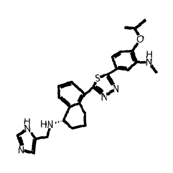 CNc1cc(-c2nnc(-c3cccc4c3CCC[C@@H]4NCc3cnc[nH]3)s2)ccc1OC(C)C